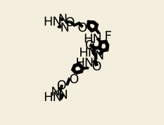 O=C(NCc1cccc(OCCOc2nc[nH]n2)c1)c1nc2ccc(F)c(NCc3cccc(OCCOc4nc[nH]n4)c3)c2c(=O)[nH]1